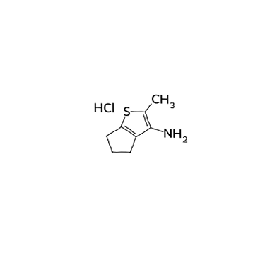 Cc1sc2c(c1N)CCC2.Cl